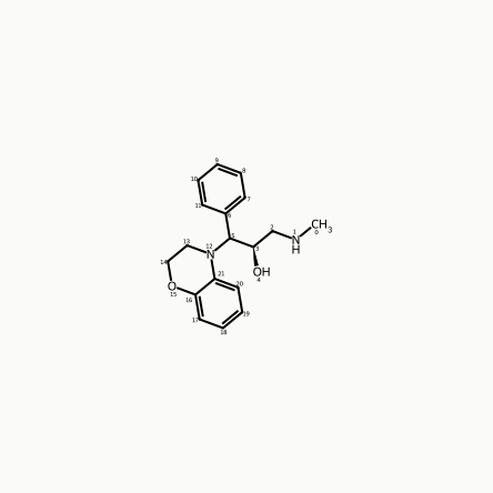 CNC[C@@H](O)C(c1ccccc1)N1CCOc2ccccc21